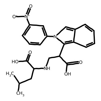 CC(C)CC(NCC(C(=O)O)c1c2ccccc2cn1-c1cccc([N+](=O)[O-])c1)C(=O)O